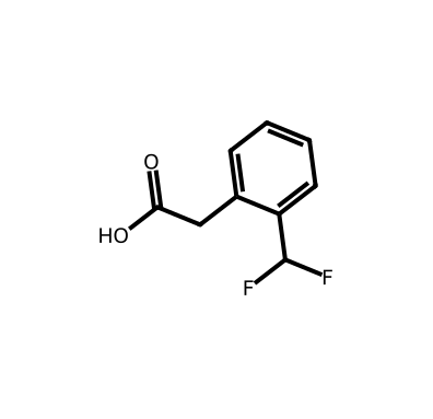 O=C(O)Cc1ccccc1C(F)F